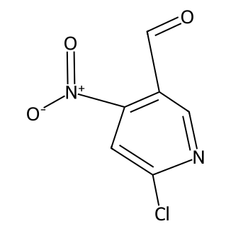 O=Cc1cnc(Cl)cc1[N+](=O)[O-]